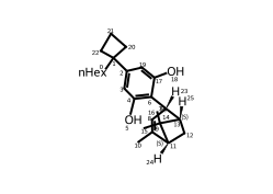 CCCCCCC1(c2cc(O)c([C@H]3C=C(C)[C@H]4C[C@@H]3C4(C)C)c(O)c2)CCC1